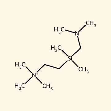 CN(C)C[Si](C)(C)CC[N+](C)(C)C